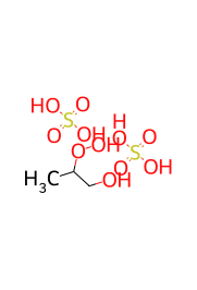 CC(CO)OO.O=S(=O)(O)O.O=S(=O)(O)O